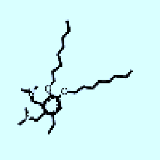 CCCCCCCCOc1cc(CC)c(CN(C)C)c(CN(C)C)c1OCCCCCCCC